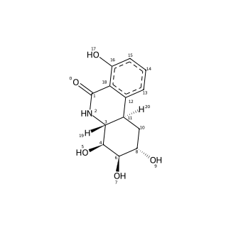 O=C1N[C@H]2[C@H](O)[C@H](O)[C@@H](O)C[C@@H]2c2cccc(O)c21